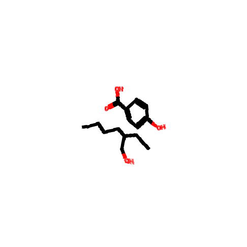 CCCCC(CC)CO.O=C(O)c1ccc(O)cc1